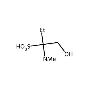 CCC(CO)(NC)S(=O)(=O)O